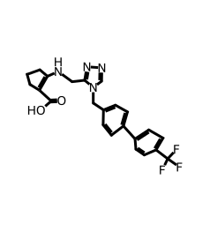 O=C(O)C1=C(NCc2nncn2Cc2ccc(-c3ccc(C(F)(F)F)cc3)cc2)CCC1